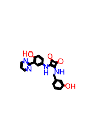 O=c1c(NCc2cccc(O)c2)c(Nc2ccc(O)c(-c3ncccn3)c2)c1=O